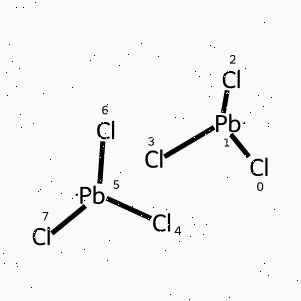 [Cl][Pb]([Cl])[Cl].[Cl][Pb]([Cl])[Cl]